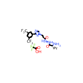 CC(C)[C@@H](N)C(=O)NNC(=O)C=Cn1cnc(-c2cc(C(F)(F)F)cc(C(F)(F)F)c2)n1.O=C(O)C(F)(F)F